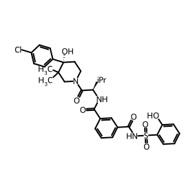 CC(C)[C@@H](NC(=O)c1cccc(C(=O)NS(=O)(=O)c2ccccc2O)c1)C(=O)N1CC[C@](O)(c2ccc(Cl)cc2)C(C)(C)C1